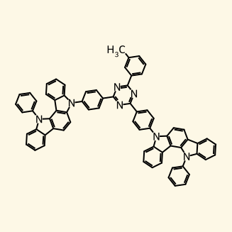 Cc1cccc(-c2nc(-c3ccc(-n4c5ccccc5c5c4ccc4c6ccccc6n(-c6ccccc6)c45)cc3)nc(-c3ccc(-n4c5ccccc5c5c4ccc4c6ccccc6n(-c6ccccc6)c45)cc3)n2)c1